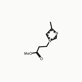 COC(=O)CCn1cnc(C)c1